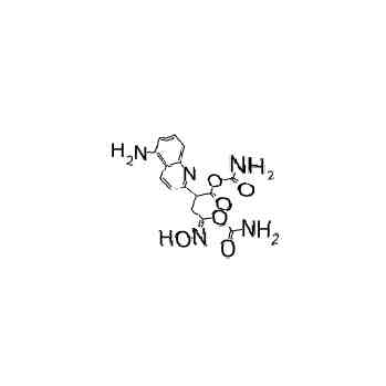 NC(=O)OC(=O)C(C/C(=N\O)OC(N)=O)c1ccc2c(N)cccc2n1